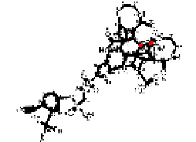 N#Cc1ccc(OP(=O)(O)CNS(=O)(=O)c2cc3cc(-c4cc5c(CC(=O)O)c(c4CC(=O)O)C(=O)NCCO5)c(-c4cc5c(CC(=O)O)c(c4CC(=O)O)C(=O)NCCO5)cc3s2)cc1C(F)(F)F